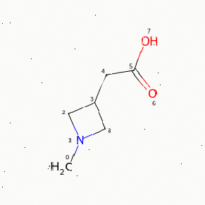 [CH2]N1CC(CC(=O)O)C1